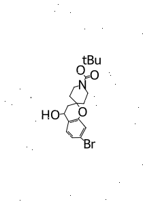 CC(C)(C)OC(=O)N1CCC2(CC1)CC(O)c1ccc(Br)cc1O2